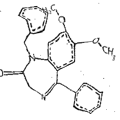 COc1cc2c(cc1OC)N(Cc1ccccc1)C(=O)CN=C2c1ccccc1